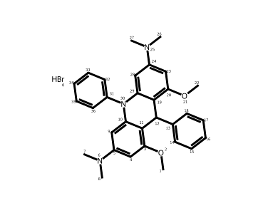 Br.COc1cc(N(C)C)cc2c1C(c1ccccc1)c1c(OC)cc(N(C)C)cc1N2c1ccccc1